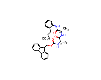 CC(C)[C@H](NC(=O)OCC1c2ccccc2-c2ccccc21)C(=O)N[C@@H](C)C(=O)Nc1ccccc1CCC(=O)O